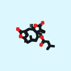 C=C1C(=O)O[C@H]2CC3=C[C@@H](C/C(C)=C/[C@@H](OC(=O)CC(C)C)[C@H]12)OC3=O